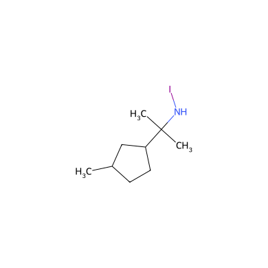 CC1CCC(C(C)(C)NI)C1